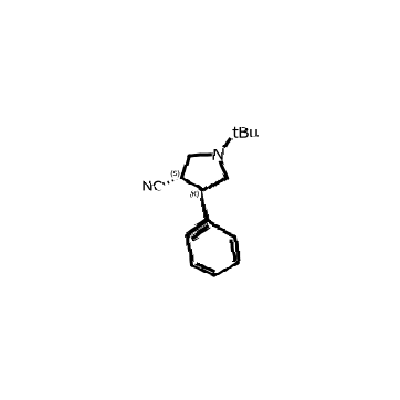 CC(C)(C)N1C[C@@H](C#N)[C@H](c2ccccc2)C1